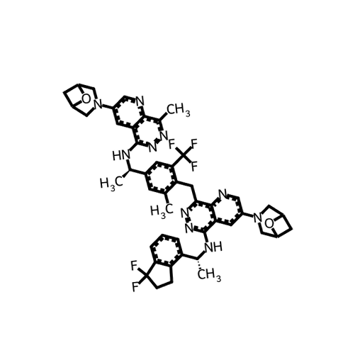 Cc1cc([C@@H](C)Nc2nnc(C)c3ncc(N4CC5CC(C4)O5)cc23)cc(C(F)(F)F)c1Cc1nnc(N[C@H](C)c2cccc3c2CCC3(F)F)c2cc(N3CC4CC(C3)O4)cnc12